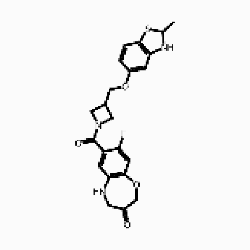 CC1Nc2cc(OCC3CN(C(=O)c4cc5c(cc4F)OCC(=O)CN5)C3)ccc2S1